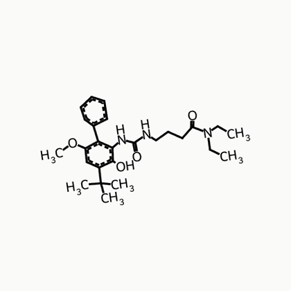 CCN(CC)C(=O)CCCNC(=O)Nc1c(O)c(C(C)(C)C)cc(OC)c1-c1ccccc1